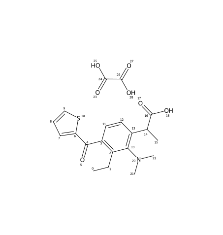 CCc1c(C(=O)c2cccs2)ccc(C(C)C(=O)O)c1N(C)C.O=C(O)C(=O)O